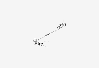 COc1cnc(OC)n2nc(NS(=O)(=O)c3c(OCCOCCOCCOCCOCCOCCOc4ccc5c(c4)C(=O)N(C4CCC(=O)NC4=O)C5=O)cccc3C(F)(F)F)nc12